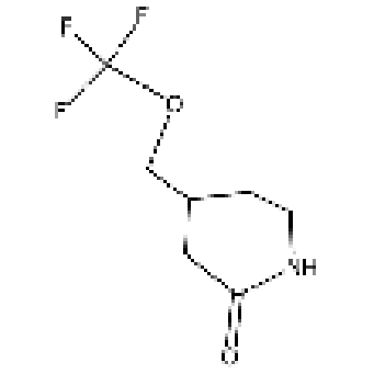 O=C1CC(COC(F)(F)F)CCN1